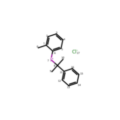 Cc1ccccc1[I+]C(C)(C)c1ccccc1.[Cl-]